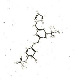 CC(C)(C#N)c1cc(CSc2ccc(OS(C)(=O)=O)c(Br)c2)cc(Cn2cncn2)c1